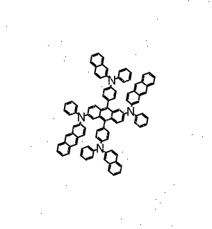 c1ccc(N(c2ccc(-c3c4ccc(N(c5ccccc5)c5ccc6cc7ccccc7cc6c5)cc4c(-c4ccc(N(c5ccccc5)c5ccc6ccccc6c5)cc4)c4ccc(N(c5ccccc5)c5ccc6cc7ccccc7cc6c5)cc34)cc2)c2ccc3ccccc3c2)cc1